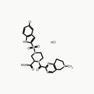 CNC(=O)C1CN(S(=O)(=O)c2cc3cc(Cl)ccc3[nH]2)CCN1C(=O)c1ncc2c(n1)CCN(C)C2.Cl